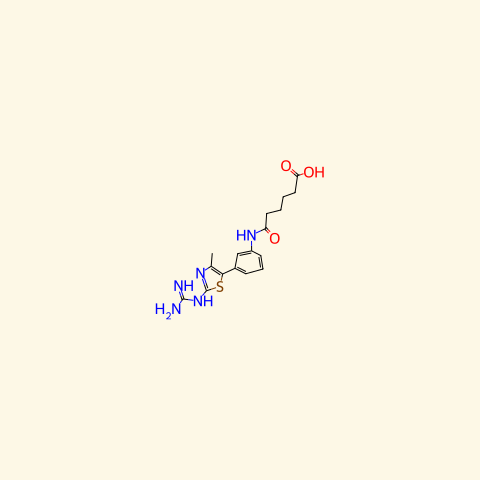 Cc1nc(NC(=N)N)sc1-c1cccc(NC(=O)CCCCC(=O)O)c1